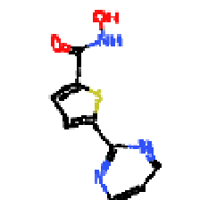 O=C(NO)c1ccc(-c2ncccn2)s1